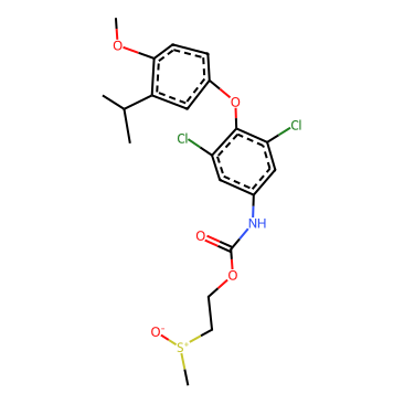 COc1ccc(Oc2c(Cl)cc(NC(=O)OCC[S+](C)[O-])cc2Cl)cc1C(C)C